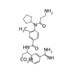 CCOC(=O)CC(NC(=O)c1ccc(N(C(=O)CCN)C2CCCC2)c(C)c1)c1cccc(C(=N)N)c1